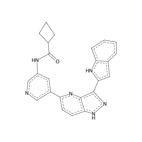 O=C(Nc1cncc(-c2ccc3[nH]nc(-c4cc5ccccc5[nH]4)c3n2)c1)C1CCC1